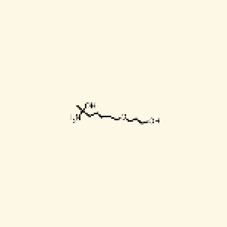 CC(N)(O)CCCCCOCCCO